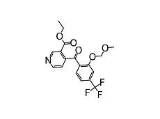 CCOC(=O)c1cnccc1C(=O)c1ccc(C(F)(F)F)cc1OCOC